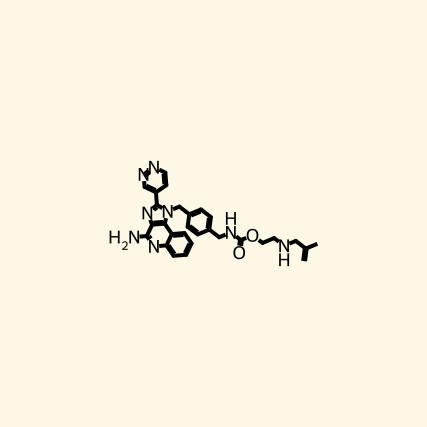 C=C(C)CNCCOC(=O)NCc1ccc(Cn2c(-c3ccnnc3)nc3c(N)nc4ccccc4c32)cc1